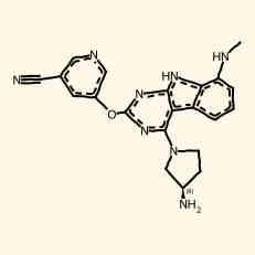 CNc1cccc2c1[nH]c1nc(Oc3cncc(C#N)c3)nc(N3CC[C@@H](N)C3)c12